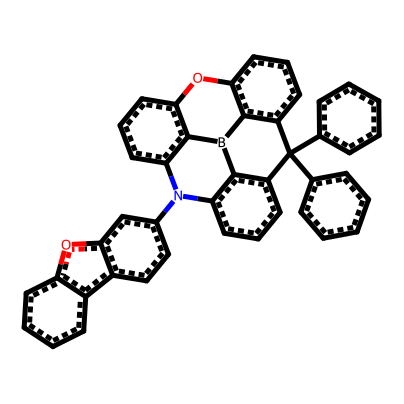 c1ccc(C2(c3ccccc3)c3cccc4c3B3c5c(cccc5N(c5ccc6c(c5)oc5ccccc56)c5cccc2c53)O4)cc1